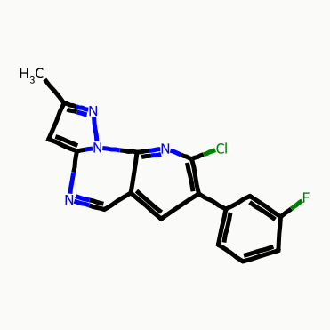 Cc1cc2ncc3cc(-c4cccc(F)c4)c(Cl)nc3n2n1